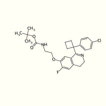 CC(C)(C)OC(=O)NCCOc1cc2c(cc1F)CCN=C2C1(c2ccc(Cl)cc2)CCC1